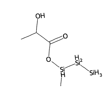 CC(O)C(=O)O[SiH](C)[SiH2][SiH3]